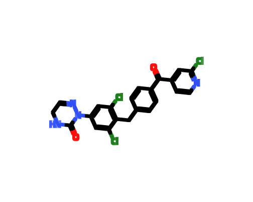 O=C(c1ccc(Cc2c(Cl)cc(N3N=CCNC3=O)cc2Cl)cc1)c1ccnc(Cl)c1